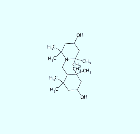 CC1(C)CC(O)CC(C)(C)C1CN1C(C)(C)CC(O)CC1(C)C